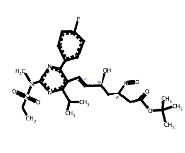 CCS(=O)(=O)N(C)c1nc(-c2ccc(F)cc2)c(/C=C/[C@@H](O)C[C@H](CC(=O)OC(C)(C)C)N=O)c(C(C)C)n1